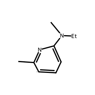 CCN(C)c1cc[c]c(C)n1